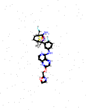 C[C@]1(c2cc(Nc3nccc4nc(OCc5ncco5)cnc34)ccc2F)N=C(N)[C@@]2(CF)CC[C@@H]1S2(=O)=O